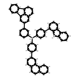 c1cc(-c2cc3c4c(cccc4c2)-c2ccccc2-3)cc(N(c2ccc(-c3ccc4ccc5ccccc5c4c3)cc2)c2ccc(-c3cccc4c3oc3ccccc34)cc2)c1